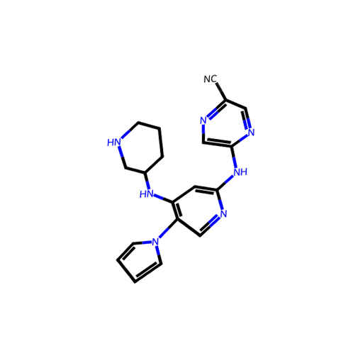 N#Cc1cnc(Nc2cc(NC3CCCNC3)c(-n3cccc3)cn2)cn1